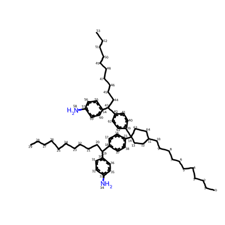 CCCCCCCCCCCC1CCC(c2ccc(C(CCCCCCCCCC)c3ccc(N)cc3)cc2)(c2ccc(C(CCCCCCCCCC)c3ccc(N)cc3)cc2)CC1